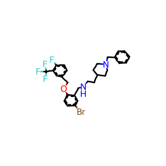 Fc1ccc(COc2ccc(Br)cc2CNCCC2CCN(Cc3ccccc3)CC2)cc1C(F)(F)F